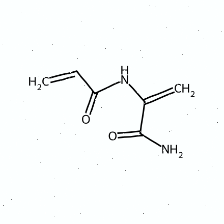 C=CC(=O)NC(=C)C(N)=O